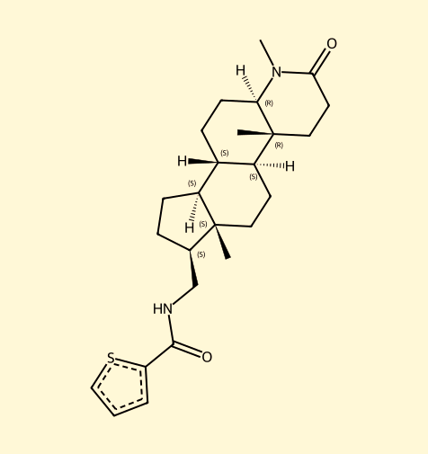 CN1C(=O)CC[C@]2(C)[C@H]3CC[C@]4(C)[C@@H](CNC(=O)c5cccs5)CC[C@H]4[C@@H]3CC[C@@H]12